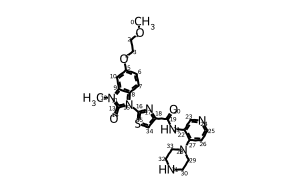 COCCOc1ccc2c(c1)n(C)c(=O)n2-c1nc(C(=O)Nc2cnccc2N2CCNCC2)cs1